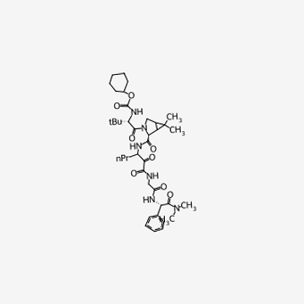 CCCC(NC(=O)[C@@H]1C2C(CN1C(=O)[C@@H](NC(=O)OC1CCCCC1)C(C)(C)C)C2(C)C)C(=O)C(=O)NCC(=O)N[C@H](C(=O)N(C)C)c1ccccc1